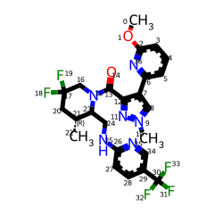 COc1cccc(-c2cn(C)nc2C(=O)N2CC(F)(F)C[C@@H](C)C2CNc2ccc(C(F)(F)F)cn2)n1